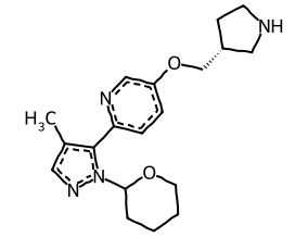 Cc1cnn(C2CCCCO2)c1-c1ccc(OC[C@@H]2CCNC2)cn1